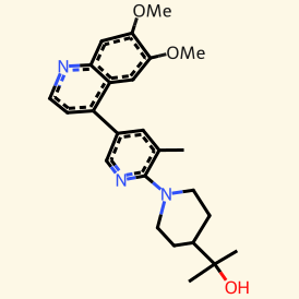 COc1cc2nccc(-c3cnc(N4CCC(C(C)(C)O)CC4)c(C)c3)c2cc1OC